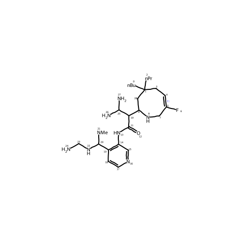 CCCCC1(CCC)C/C=C(/F)CNC(C(C(=O)Nc2cnccc2C(NC)NCN)C(N)N)C1